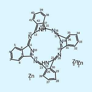 [Zn].[Zn].[Zn].c1ccc2c(c1)-c1nc-2nc2[nH]c(nc3nc(nc4[nH]c(n1)c1ccccc41)-c1ccccc1-3)c1ccccc21